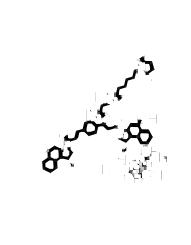 CC(C)(C)OP(=O)(O)OC(C)(C)C.O=C(CCCCCN1C(=O)C=CC1=O)NCCC(=O)Nc1cc(/C=C/C(=O)N2C[C@@H](CCl)c3c2cc(O)c2ccccc32)ccc1/C=C/C(=O)N1C[C@@H](CCl)c2c1cc(O)c1ccccc21